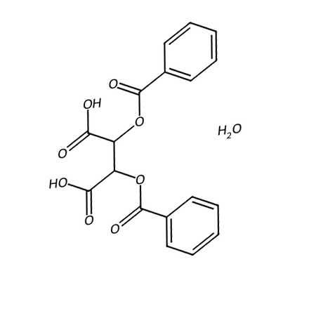 O.O=C(OC(C(=O)O)C(OC(=O)c1ccccc1)C(=O)O)c1ccccc1